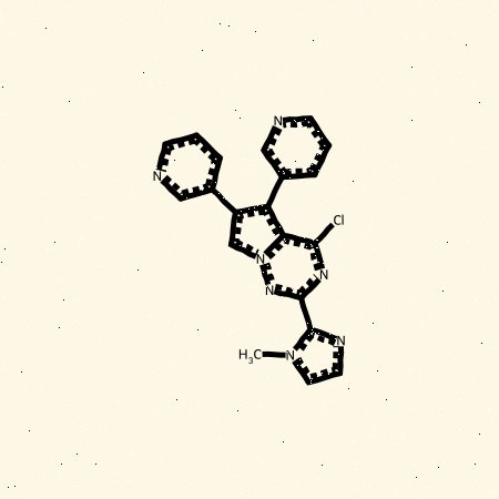 Cn1ccnc1-c1nc(Cl)c2c(-c3cccnc3)c(-c3cccnc3)cn2n1